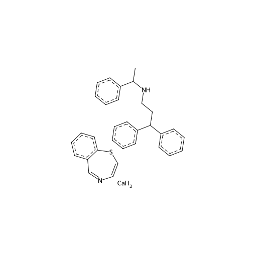 C1=CSc2ccccc2C=N1.CC(NCCC(c1ccccc1)c1ccccc1)c1ccccc1.[CaH2]